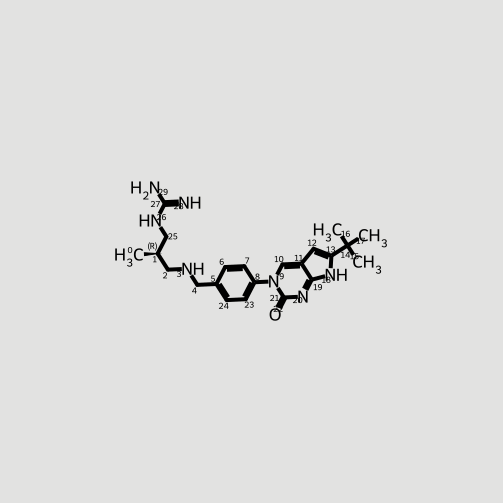 C[C@H](CNCc1ccc(-n2cc3cc(C(C)(C)C)[nH]c3nc2=O)cc1)CNC(=N)N